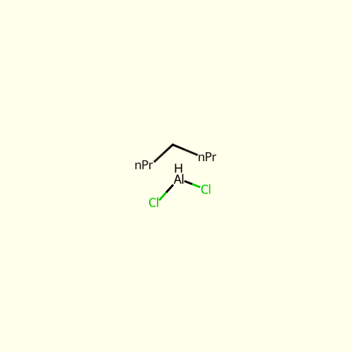 CCCCCCC.[Cl][AlH][Cl]